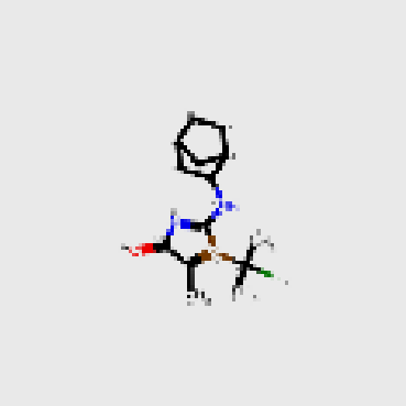 CC1=S(C(C)(C)F)C(NC2CC3CCC2C3)=NC1=O